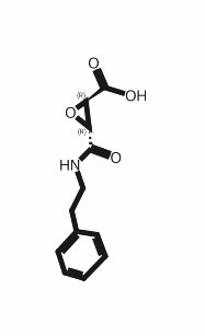 O=C(O)[C@@H]1O[C@H]1C(=O)NCCc1ccccc1